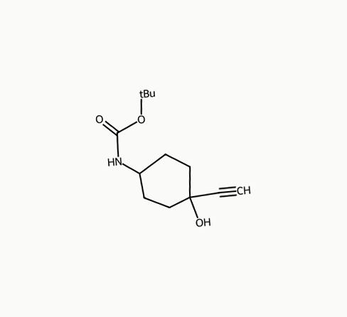 C#CC1(O)CCC(NC(=O)OC(C)(C)C)CC1